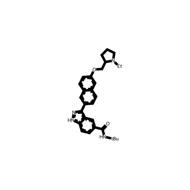 CCN1CCCC1COc1ccc2cc(-c3n[nH]c4ccc(C(=O)NC(C)(C)C)cc34)ccc2c1